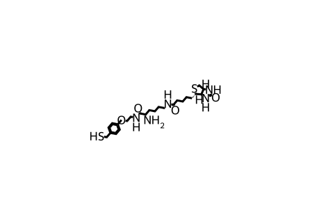 N[C@H](CCCCNC(=O)CCCC[C@@H]1SC[C@@H]2NC(=O)N[C@@H]21)C(=O)NCCOc1ccc(CS)cc1